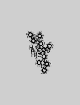 CC1(C)c2cc(N(c3ccccc3)c3cccc4c3oc3ccccc34)ccc2-c2c1c1c(c3c2oc2ccccc23)-c2ccc(N(c3ccccc3)c3cccc4c3oc3ccccc34)cc2C1(C)C